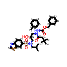 CC(C)CN(C[C@@H](O)[C@H](Cc1ccccc1)N(NC(=O)OCc1ccccc1)C(=O)CC(C)(C)C)S(=O)(=O)c1ccc2ncsc2c1